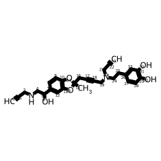 C#CCNCC(O)c1ccc2c(c1)OC(C)(CC#CCN(CC#C)CCc1ccc(O)c(O)c1)O2